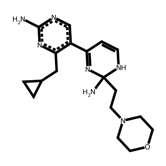 Nc1ncc(C2=NC(N)(CCN3CCOCC3)NC=C2)c(CC2CC2)n1